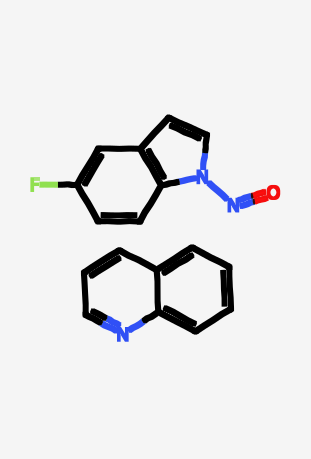 O=Nn1ccc2cc(F)ccc21.c1ccc2ncccc2c1